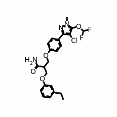 CCc1cccc(OCC(COc2ccc(-c3nn(C)c(OC(F)F)c3Cl)cc2)C(N)=O)c1